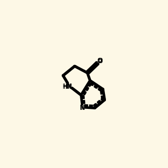 O=C1CCNc2ncccc21